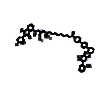 N=C(N)/C(=C\C(=N)c1ccccc1O)OC1CCCN(c2ccc(N3CCN(C(=O)CCCCCCCCN(N)/C=C(\N)CNc4cccc5c4C(=O)N(C4CCC(=O)NC4)C5=O)CC3)cc2)C1